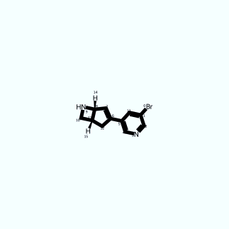 Brc1cncc(C2=C[C@H]3NC[C@H]3C2)c1